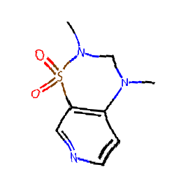 CN1CN(C)S(=O)(=O)c2cnccc21